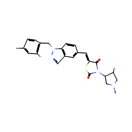 CN1CC(O)C(N2C(=O)SC(=Cc3ccc4c(cnn4Cc4ccc(Cl)cc4C(F)(F)F)c3)C2=O)C1